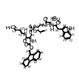 C=CCOP(=O)(OCCNC(=O)[C@@H](NC(=O)Cc1c[nH]c2ccccc12)[C@@H](C)CC)OCC(NC(=O)OCC1c2ccccc2-c2ccccc21)C(=O)NCCCO